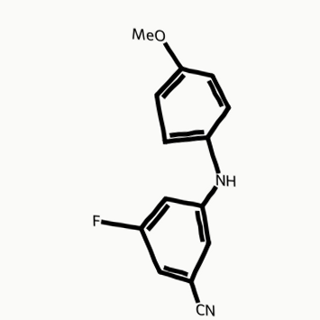 COc1ccc(Nc2cc(F)cc(C#N)c2)cc1